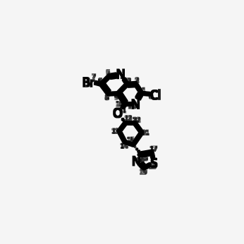 Clc1cc2ncc(Br)cc2c(O[C@H]2CC[C@@H](c3cscn3)CC2)n1